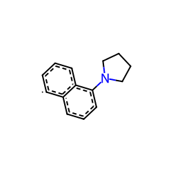 [c]1cccc2c(N3CCCC3)cccc12